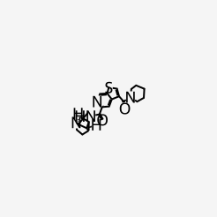 C[C@H]1[C@H](NC(=O)c2cc3c(C(=O)N4CCCCC4)csc3cn2)C2CCN1CC2